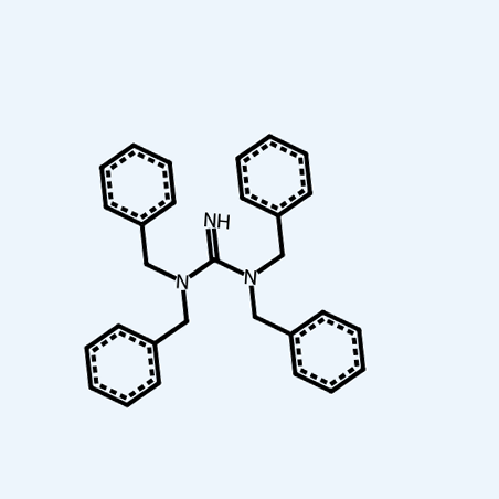 N=C(N(Cc1ccccc1)Cc1ccccc1)N(Cc1ccccc1)Cc1ccccc1